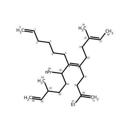 C=CCCCCC(=C(CCC(=C)CC)CCC(C)=CC)C(CCC)CCC(C)C=C